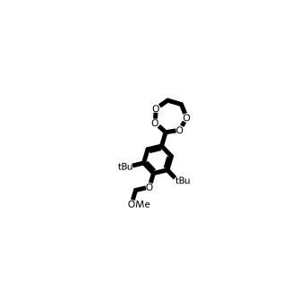 COCOc1c(C(C)(C)C)cc(C2OOCCOO2)cc1C(C)(C)C